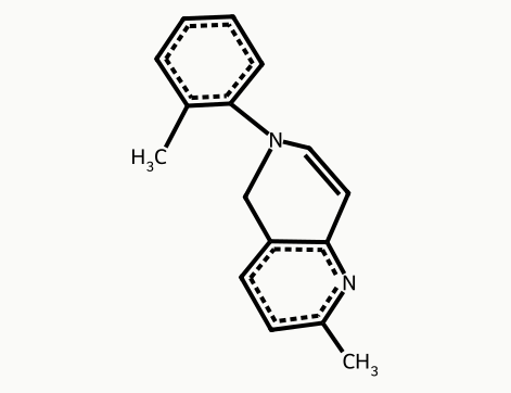 Cc1ccc2c(n1)C=CN(c1ccccc1C)C2